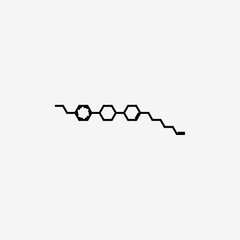 C=CCCCCCC1=CCC(C2CCC(c3ccc(CCC)cc3)CC2)CC1